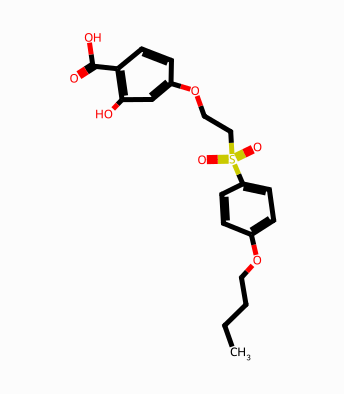 CCCCOc1ccc(S(=O)(=O)CCOc2ccc(C(=O)O)c(O)c2)cc1